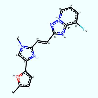 Cc1ccc(-c2cn(C)c(C=Cc3nc4c(F)cccn4n3)n2)o1